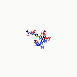 CC(C)(C)OC(=O)N1CC2C(C#N)C2(CCCCC(C(c2ccc(-c3ccc(N4C[C@H](CNC(=O)C5CC5)OC4=O)cc3F)cn2)C23CN(C(=O)OC(C)(C)C)CC2C3C#N)C23CN(C(=O)OC(C)(C)C)CC2C3C#N)C1